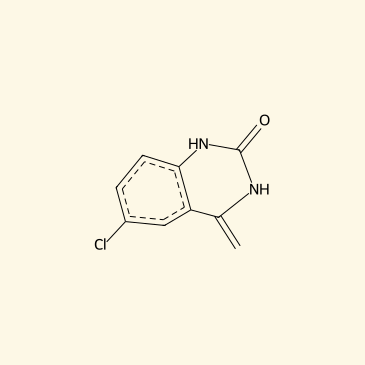 C=C1NC(=O)Nc2ccc(Cl)cc21